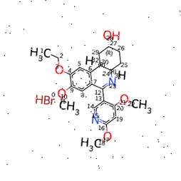 Br.CCOc1cc2c(cc1OC)C(c1cnc(OC)cc1OC)=N[C@@H]1CC[C@@H](O)C[C@H]21